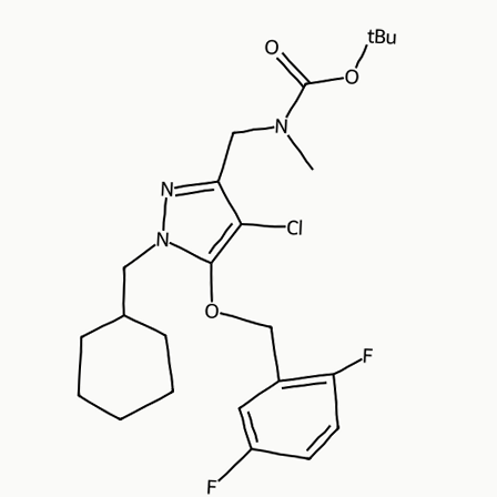 CN(Cc1nn(CC2CCCCC2)c(OCc2cc(F)ccc2F)c1Cl)C(=O)OC(C)(C)C